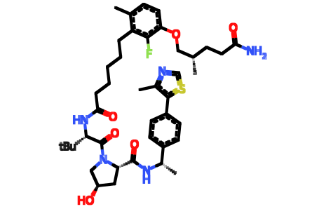 Cc1ccc(OC[C@@H](C)CCC(N)=O)c(F)c1CCCCCC(=O)N[C@H](C(=O)N1C[C@H](O)C[C@H]1C(=O)N[C@@H](C)c1ccc(-c2scnc2C)cc1)C(C)(C)C